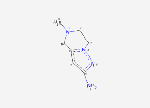 BN1CCn2nc(N)cc2C1